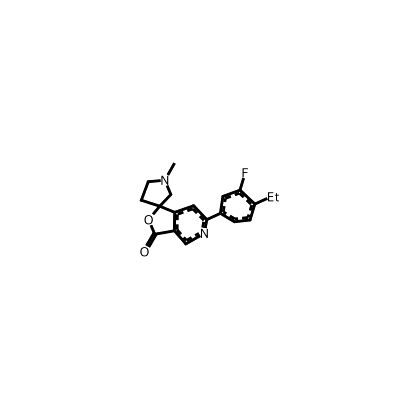 CCc1ccc(-c2cc3c(cn2)C(=O)OC32CCN(C)C2)cc1F